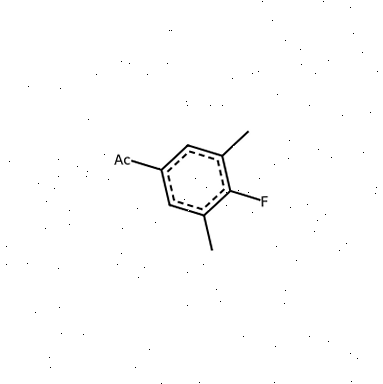 CC(=O)c1cc(C)c(F)c(C)c1